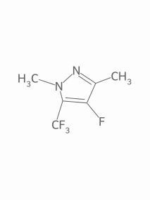 Cc1nn(C)c(C(F)(F)F)c1F